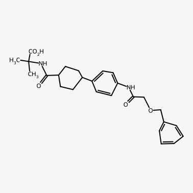 CC(C)(NC(=O)C1CCC(c2ccc(NC(=O)COCc3ccccc3)cc2)CC1)C(=O)O